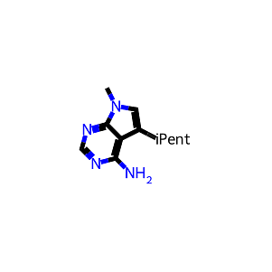 CCCC(C)c1cn(C)c2ncnc(N)c12